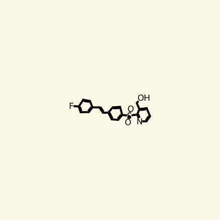 O=S(=O)(c1ccc(C=Cc2ccc(F)cc2)cc1)c1ncccc1CO